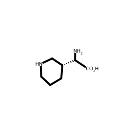 NC(C(=O)O)[C@@H]1CCCNC1